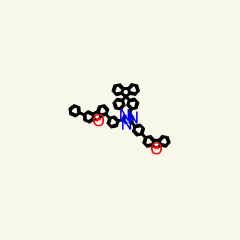 c1ccc(-c2ccc3oc4c(-c5cccc(-c6nc(-c7ccc(-c8ccc9oc%10ccccc%10c9c8)cc7)nc(-c7cccc(C8(c9ccccc9)c9ccccc9-c9ccccc98)c7)n6)c5)cccc4c3c2)cc1